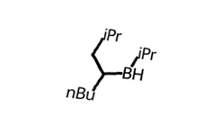 CCCCC(BC(C)C)CC(C)C